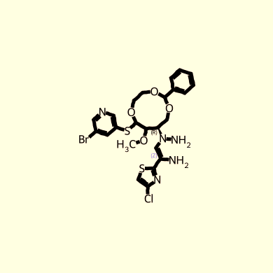 COC1C(Sc2cncc(Br)c2)OCCOC(c2ccccc2)OC[C@H]1N(N)/C=C(\N)c1nc(Cl)cs1